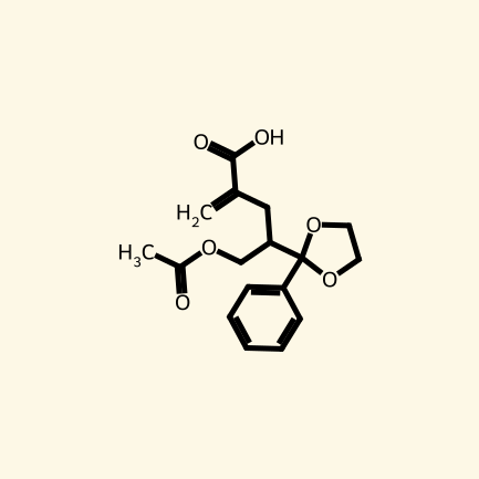 C=C(CC(COC(C)=O)C1(c2ccccc2)OCCO1)C(=O)O